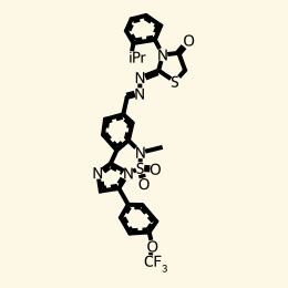 CC(C)c1ccccc1N1C(=O)CSC1=NN=Cc1ccc2c(c1)N(C)S(=O)(=O)n1c(-c3ccc(OC(F)(F)F)cc3)cnc1-2